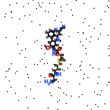 COc1ccc(N(C)c2cc(C#N)nc3ccccc23)cc1NC(=O)OCC(C)SSCCCNC(=O)CN